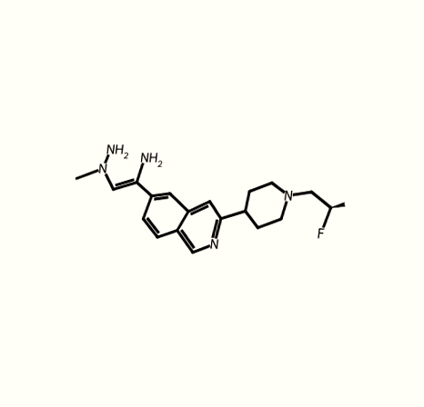 C[C@@H](F)CN1CCC(c2cc3cc(/C(N)=C/N(C)N)ccc3cn2)CC1